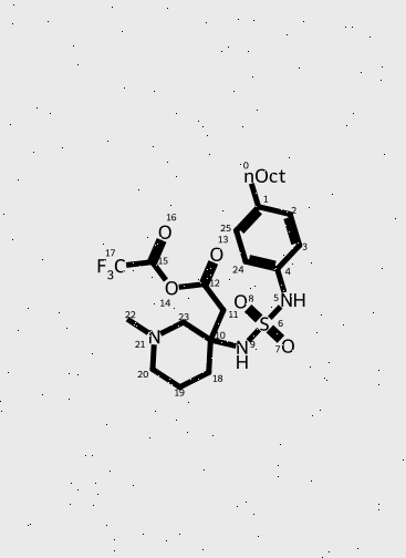 CCCCCCCCc1ccc(NS(=O)(=O)NC2(CC(=O)OC(=O)C(F)(F)F)CCCN(C)C2)cc1